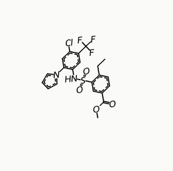 CCc1ccc(C(=O)OC)cc1S(=O)(=O)Nc1cc(C(F)(F)F)c(Cl)cc1-n1cccc1